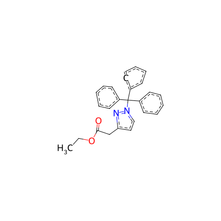 CCOC(=O)Cc1ccn(C(c2ccccc2)(c2ccccc2)c2ccccc2)n1